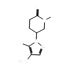 CCN1CC(n2ncc(N)c2C)CCC1=O